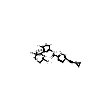 C[C@]1(c2cc(NC(=O)c3ccc(C#CC4CC4)cn3)ccc2F)N=C(N)COCC1(F)F